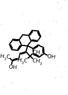 C/C(O)=C\C=C(/C(C)(C)C)C1(c2ccc(O)cc2)c2ccccc2Cc2ccccc21